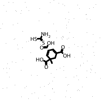 CC1(C(=O)O)C=CC=C(C(=O)O)C1.NC(=S)S.O=CO